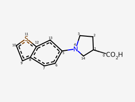 O=C(O)C1CCN(c2ccc3ccsc3c2)C1